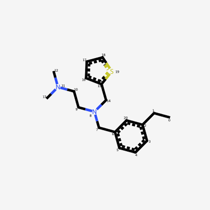 CCc1cccc(CN(CCN(C)C)Cc2cccs2)c1